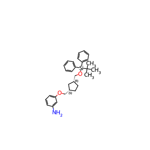 CC(C)(C)[Si](OC[C@@H]1CC[C@H](COc2cccc(N)c2)C1)(c1ccccc1)c1ccccc1